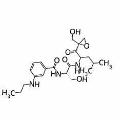 CCCNc1cccc(C(=O)N[C@@H](CO)C(=O)NC(CC(C)C)C(=O)C2(CO)CO2)c1